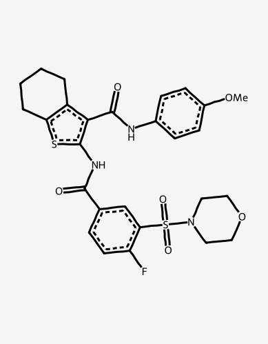 COc1ccc(NC(=O)c2c(NC(=O)c3ccc(F)c(S(=O)(=O)N4CCOCC4)c3)sc3c2CCCC3)cc1